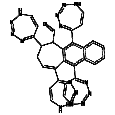 O=CC1c2c(c(C3=NN=NNC=C3)c3ccccc3c2C2=NN=NNC=C2)C(C2=NN=NNC=C2)=CCC1C1=NN=NNC=C1